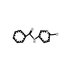 O=C(Nc1ccc(Cl)nc1)c1ccccc1